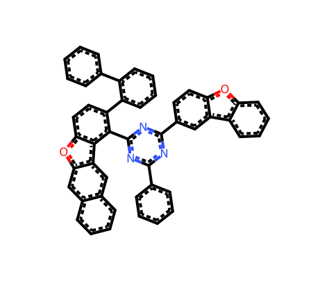 c1ccc(-c2nc(-c3ccc4oc5ccccc5c4c3)nc(-c3c(-c4ccccc4-c4ccccc4)ccc4oc5cc6ccccc6cc5c34)n2)cc1